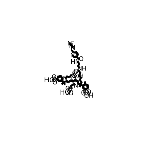 Cc1ccc(S(=O)(=O)O)cc1C(C)(CCCCCC(=O)NCCNC(=O)c1ccc(CN=[N+]=[N-])nc1)/C(C=CC=C/C=C1\N(CCCS(=O)(=O)O)c2ccc(S(=O)(=O)O)cc2C1(C)C)=N/CCCS(=O)(=O)O